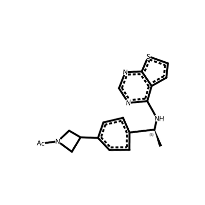 CC(=O)N1CC(c2ccc([C@H](C)Nc3ncnc4sccc34)cc2)C1